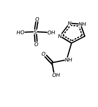 O=C(O)Nc1c[nH]nn1.O=S(=O)(O)O